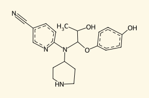 CC(O)C(Oc1ccc(O)cc1)N(c1ccc(C#N)cn1)C1CCNCC1